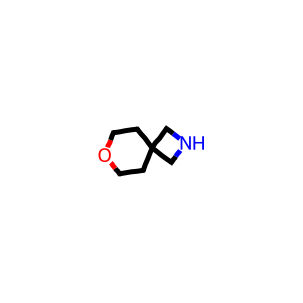 C1CC2(CCO1)CNC2